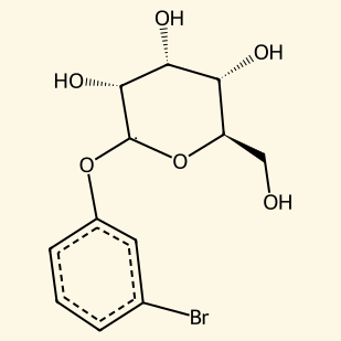 OC[C@H]1O[C](Oc2cccc(Br)c2)[C@H](O)[C@H](O)[C@@H]1O